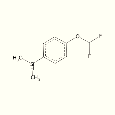 C[SiH](C)c1ccc(OC(F)F)cc1